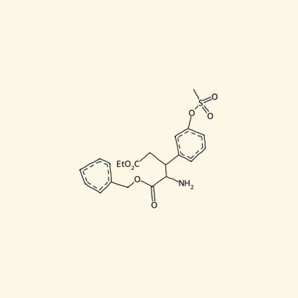 CCOC(=O)CC(c1cccc(OS(C)(=O)=O)c1)C(N)C(=O)OCc1ccccc1